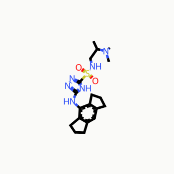 CC(CNS(=O)(=O)c1nnc(Nc2c3c(cc4c2CCC4)CCC3)[nH]1)N(C)C